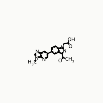 CC(=O)c1nn(CC(=O)O)c2ccc(-c3cnc4c(c3)ncn4C)cc12